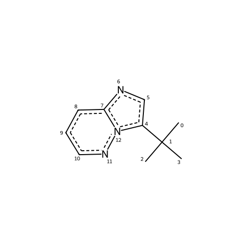 CC(C)(C)c1cnc2cccnn12